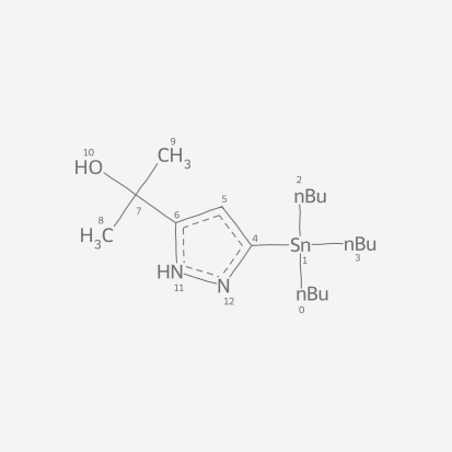 CCC[CH2][Sn]([CH2]CCC)([CH2]CCC)[c]1cc(C(C)(C)O)[nH]n1